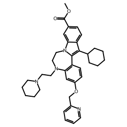 COC(=O)c1ccc2c(C3CCCCC3)c3n(c2c1)CCN(CCN1CCCCC1)c1cc(OCc2ccccn2)ccc1-3